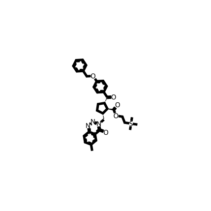 Cc1ccc2nnn(C[C@@H]3CC[C@H](C(=O)c4ccc(OCc5ccccc5)cc4)[C@H]3C(=O)OCCS(C)(C)C)c(=O)c2c1